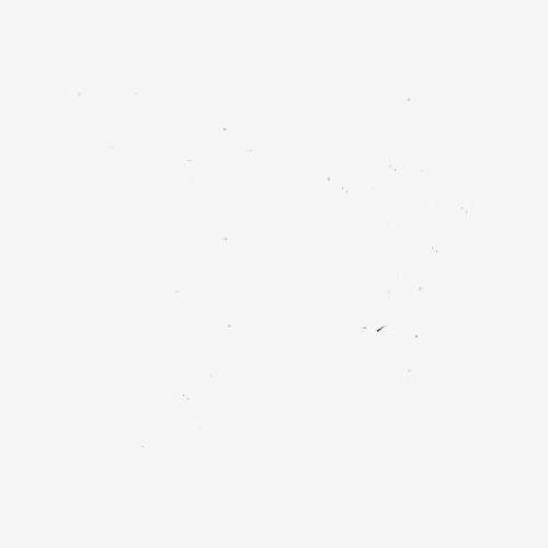 COc1nc(N)nc2c1ncn2[C@@H]1O[C@H](CO)[C@@H](O)[C@@H]1O.Cl.O=C(c1ccc(OCCN2CCCCC2)cc1)c1c(-c2ccc(O)cc2)sc2cc(O)ccc12